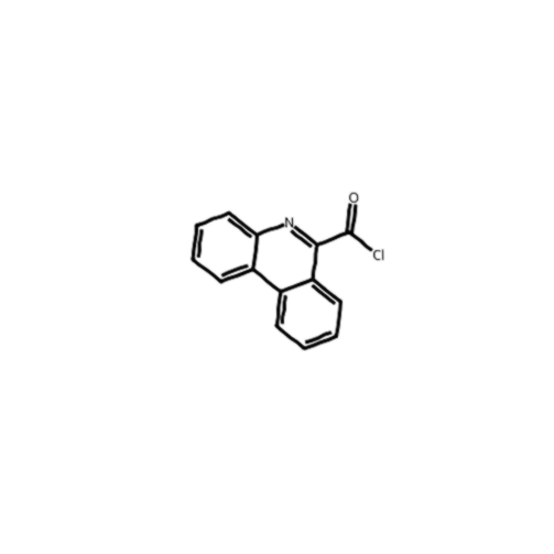 O=C(Cl)c1nc2ccccc2c2ccccc12